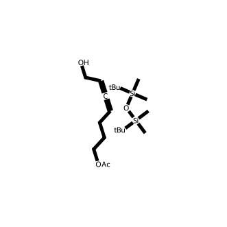 CC(=O)OCCCC=C=CCO.CC(C)(C)[Si](C)(C)O[Si](C)(C)C(C)(C)C